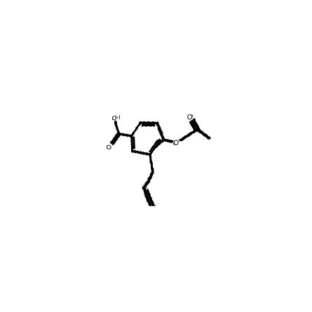 C=CCc1cc(C(=O)O)ccc1OC(C)=O